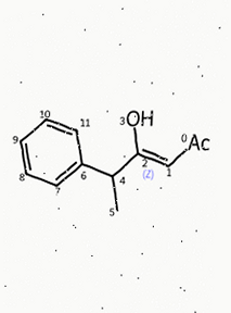 CC(=O)/C=C(\O)C(C)c1ccccc1